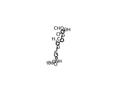 Cc1c(COc2cc(O)c(C=O)cc2Cl)cccc1-c1cccc(OCCCN2CCC3(CC2)CC(NC(=O)OC(C)(C)C)C3)c1